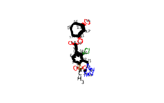 CS(=O)(=O)c1ccc(C(=O)OC2=CC(=O)CCC2)c(Cl)c1Cn1cnnn1